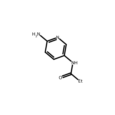 CCC(=O)Nc1ccc(N)nc1